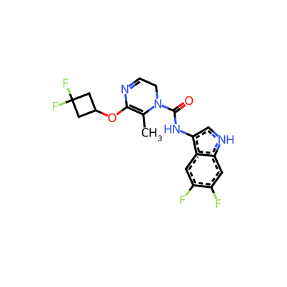 CC1=C(OC2CC(F)(F)C2)N=CCN1C(=O)Nc1c[nH]c2cc(F)c(F)cc12